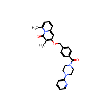 Cc1c(OCc2ccc(C(=O)N3CCN(c4ccccn4)CC3)cc2)cc2cccc(C)n2c1=O